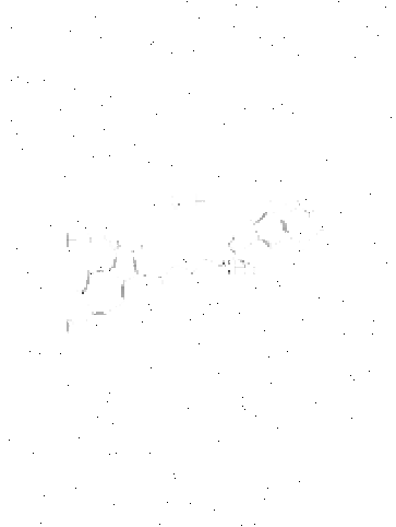 CC(C)c1ccc2c(CCCCNS(=O)(=O)c3ccc4c(c3)CCCC4)cc(S(=O)(=O)O)c-2cc1.[NaH]